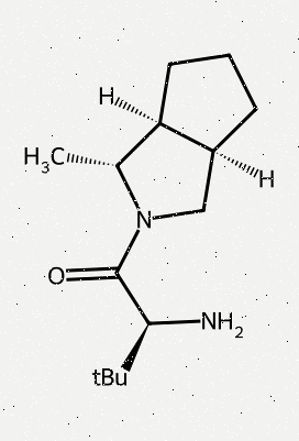 C[C@@H]1[C@H]2CCC[C@H]2CN1C(=O)[C@@H](N)C(C)(C)C